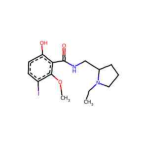 CCN1CCCC1CNC(=O)c1c(O)ccc(I)c1OC